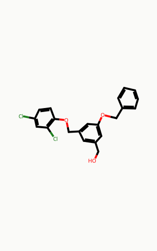 OCc1cc(COc2ccc(Cl)cc2Cl)cc(OCc2ccccc2)c1